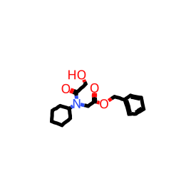 O=C(CN(C(=O)CO)C1CCCCC1)OCc1ccccc1